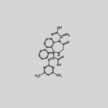 Cc1cc(C)nc(O[C@H](C(=O)O)[C@@]2(c3ccccc3)NCC(=O)N([C@H](C)C(=O)O)c3ccccc32)n1